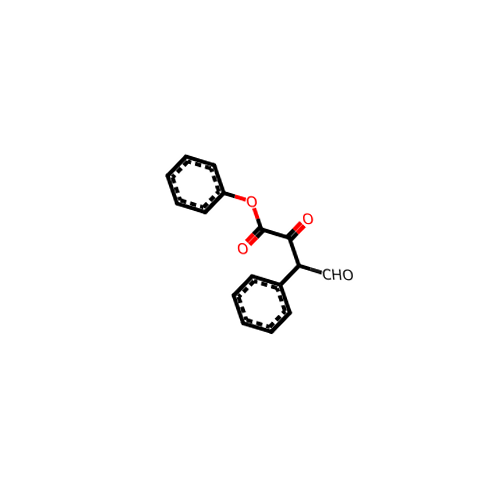 O=CC(C(=O)C(=O)Oc1ccccc1)c1ccccc1